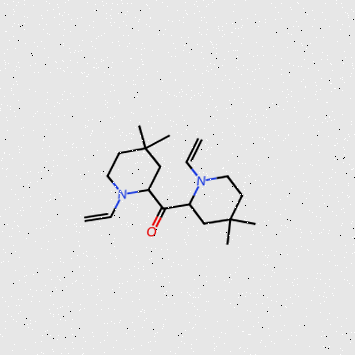 C=CN1CCC(C)(C)CC1C(=O)C1CC(C)(C)CCN1C=C